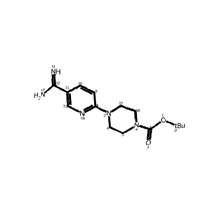 CC(C)(C)OC(=O)N1CCN(c2ccc(C(=N)N)cn2)CC1